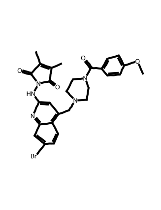 COc1ccc(C(=O)N2CCN(Cc3cc(NN4C(=O)C(C)=C(C)C4=O)nc4cc(Br)ccc34)CC2)cc1